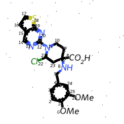 COc1ccc(CNC2(C(=O)O)CCN(c3ncc4ccsc4n3)C(Cl)C2)cc1OC